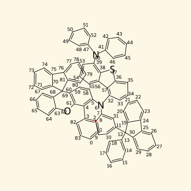 c1ccc(-c2c(N(c3cccc(C4(c5ccccc5)c5ccccc5-c5ccccc54)c3)c3cccc4sc5c(N(c6ccccc6)c6ccccc6)cccc5c34)ccc3c2Oc2ccccc2C32c3ccccc3-c3ccccc32)cc1